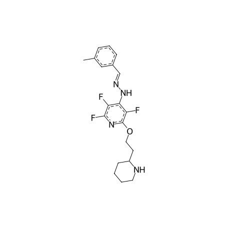 Cc1cccc(C=NNc2c(F)c(F)nc(OCCC3CCCCN3)c2F)c1